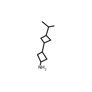 CC(C)C1CC(C2CC(N)C2)C1